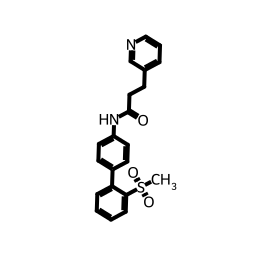 CS(=O)(=O)c1ccccc1-c1ccc(NC(=O)CCc2cccnc2)cc1